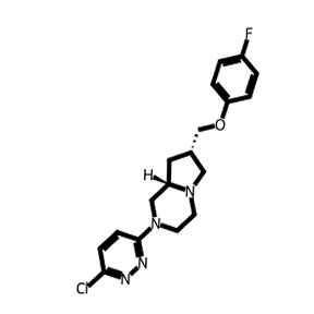 Fc1ccc(OC[C@H]2C[C@H]3CN(c4ccc(Cl)nn4)CCN3C2)cc1